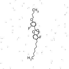 CCCCCCCCc1ccc(OC(=O)c2ccc(OCCCC)cc2F)c(F)c1F